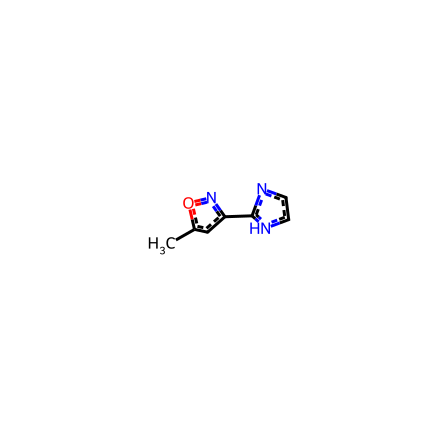 Cc1cc(-c2ncc[nH]2)no1